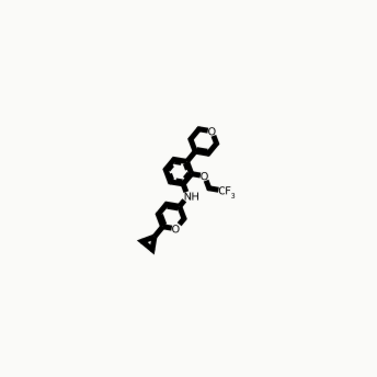 FC(F)(F)COc1c(NC2=CC=C(C3CC3)OC2)cccc1C1=CCOCC1